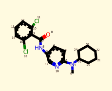 CN(c1ccc(NC(=O)c2c(Cl)cccc2Cl)cn1)C1CCCCC1